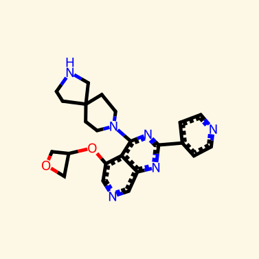 c1cc(-c2nc(N3CCC4(CCNC4)CC3)c3c(OC4COC4)cncc3n2)ccn1